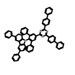 c1cccc(-c2cc(-c3nc(-c4ccc(-c5ccccc5)cc4)nc(-c4ccc(-c5ccccc5)cc4)n3)cc(-c3ccccc3)c2-n2c3c(c4cc(-c5ccccc5)ccc42)C=C(c2ccccc2)CC3)c#1